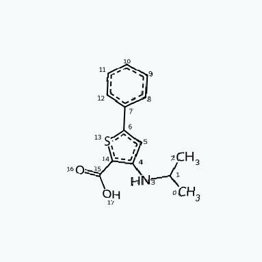 CC(C)Nc1cc(-c2ccccc2)sc1C(=O)O